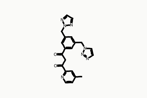 Cc1ccnc(C(=O)CC(=O)c2cc(Cn3ccnn3)cc(Cn3nccn3)c2)c1